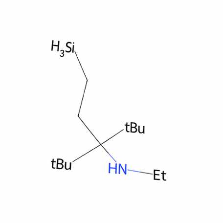 CCNC(CC[SiH3])(C(C)(C)C)C(C)(C)C